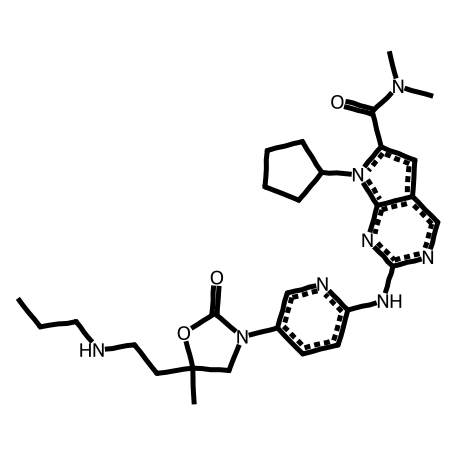 CCCNCCC1(C)CN(c2ccc(Nc3ncc4cc(C(=O)N(C)C)n(C5CCCC5)c4n3)nc2)C(=O)O1